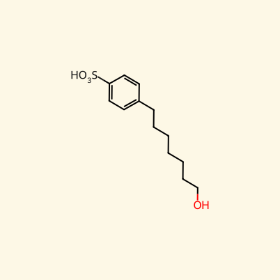 O=S(=O)(O)c1ccc(CCCCCCCO)cc1